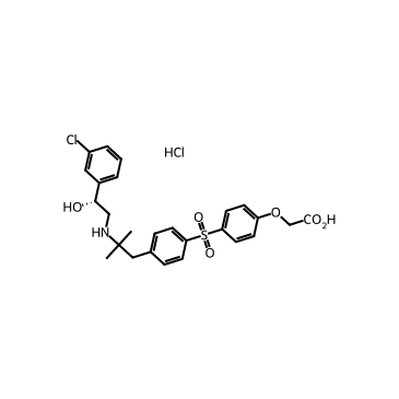 CC(C)(Cc1ccc(S(=O)(=O)c2ccc(OCC(=O)O)cc2)cc1)NC[C@H](O)c1cccc(Cl)c1.Cl